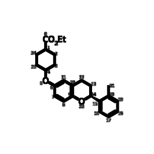 CCOC(=O)C1CCC(Oc2ccc3c(c2)CC[C@@H](c2ccccc2C)O3)CC1